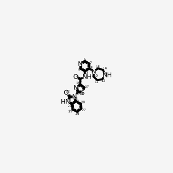 O=C(Nc1cnccc1N1CCCNCC1)c1csc(-n2c(=O)[nH]c3ccccc32)n1